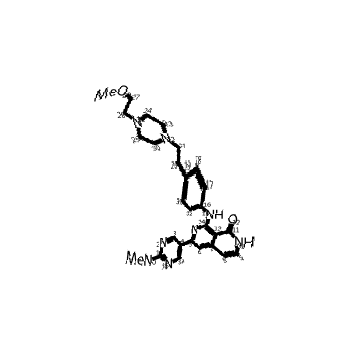 CNc1ncc(-c2cc3cc[nH]c(=O)c3c(Nc3ccc(CCN4CCN(CCOC)CC4)cc3)n2)cn1